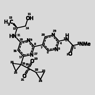 CNC(=O)Nc1ncc(-c2nc(N[C@@H](C)CO)cc(C3(S(=O)(=O)C4CC4)CC3)n2)cn1